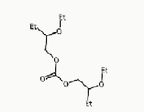 CCOC(CC)COC(=O)OCC(CC)OCC